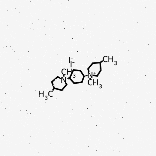 CC1CC[N+](C)([C@H]2CC[C@H]([N+]3(C)CCC(C)CC3)CC2)CC1.[I-].[I-]